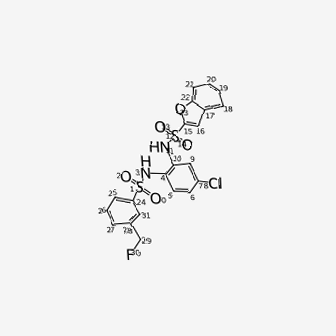 O=S(=O)(Nc1ccc(Cl)cc1NS(=O)(=O)c1cc2ccccc2o1)c1cccc(CF)c1